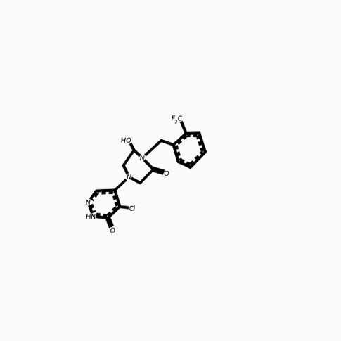 O=C1CN(c2cn[nH]c(=O)c2Cl)CC(O)N1Cc1ccccc1C(F)(F)F